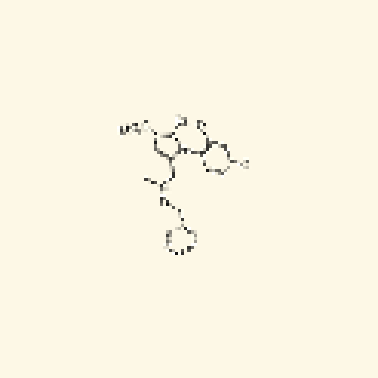 CCOC(=O)c1cc(C[C@H](C)OCc2ccccc2)n(-c2ccc(Cl)cc2Cl)c1CC